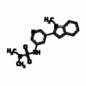 CN(C)S(=O)(=O)Nc1cncc(-c2cc3ccccc3n2C)c1